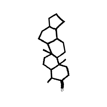 CC1C(=O)CCC2(C)C1CCC1(C)C3CCC4CCCC4C3CCC21